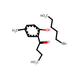 CC(C)(C)CCCCC(=O)O.Cc1ccc(O)c(C(=O)CCC(=O)O)c1